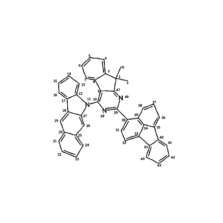 CC1(C)c2ccccc2-c2c(-n3c4ccccc4c4cc5ccccc5cc43)nc(-c3ccc4c5c(cccc35)-c3ccccc3-4)nc21